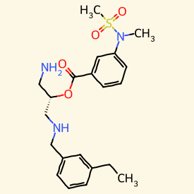 CCc1cccc(CNC[C@H](CN)OC(=O)c2cccc(N(C)S(C)(=O)=O)c2)c1